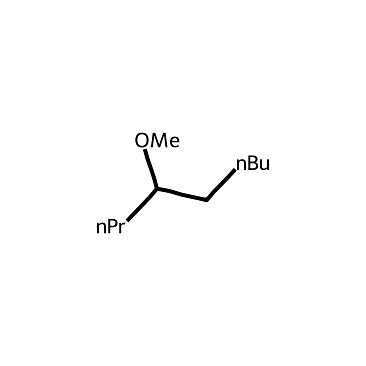 CCCCCC(CCC)OC